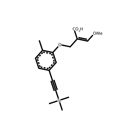 CO/C=C(/COc1cc(C#C[Si](C)(C)C)ccc1C)C(=O)O